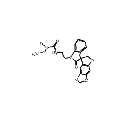 CCN(CC(=O)O)C(=O)NCCN1C(=O)C2(COc3cc4c(cc32)OCO4)c2ccccc21